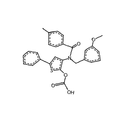 COc1cccc(CN(C(=O)c2ccc(C)cc2)c2cc(-c3ccccc3)sc2OC(=O)O)c1